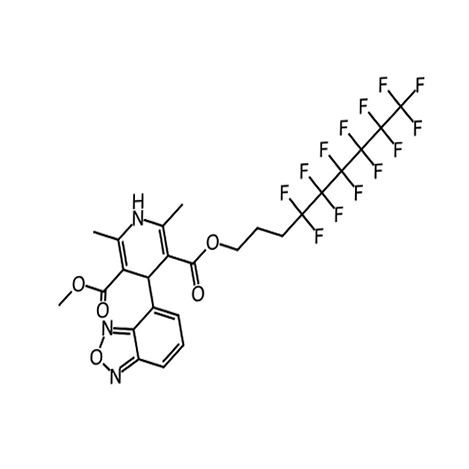 COC(=O)C1=C(C)NC(C)=C(C(=O)OCCCC(F)(F)C(F)(F)C(F)(F)C(F)(F)C(F)(F)C(F)(F)F)C1c1cccc2nonc12